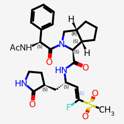 CC(=O)N[C@H](C(=O)N1C[C@@H]2CCC[C@@H]2[C@H]1C(=O)N[C@H](/C=C(\F)S(C)(=O)=O)C[C@@H]1CCNC1=O)c1ccccc1